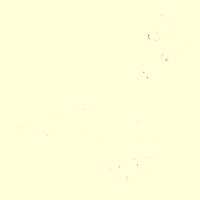 CCC/C=C\C/C=C\C/C=C\C/C=C\C/C=C\CCCC(=O)n1c(=O)ccc2ccc(OCCCCN3CCN(c4cccc(Cl)c4Cl)CC3)cc21